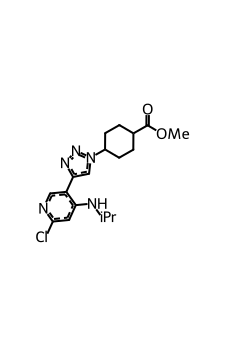 COC(=O)C1CCC(n2cc(-c3cnc(Cl)cc3NC(C)C)nn2)CC1